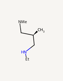 CCNC[C@H](C)CNC